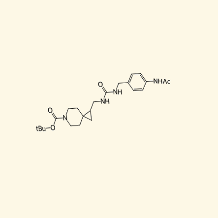 CC(=O)Nc1ccc(CNC(=O)NCC2CC23CCN(C(=O)OC(C)(C)C)CC3)cc1